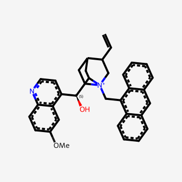 C=CC1C[N+]2(Cc3c4ccccc4cc4ccccc34)CCC1CC2[C@@H](O)c1ccnc2ccc(OC)cc12